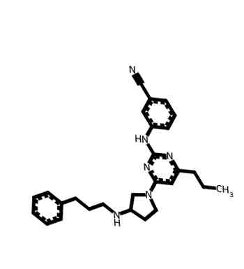 CCCc1cc(N2CCC(NCCCc3ccccc3)C2)nc(Nc2cccc(C#N)c2)n1